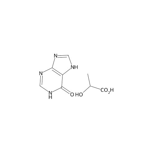 CC(O)C(=O)O.O=c1[nH]cnc2nc[nH]c12